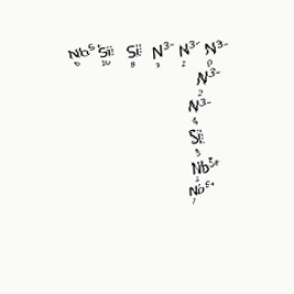 [N-3].[N-3].[N-3].[N-3].[N-3].[Nb+5].[Nb+5].[Nb+5].[Si].[Si].[Si]